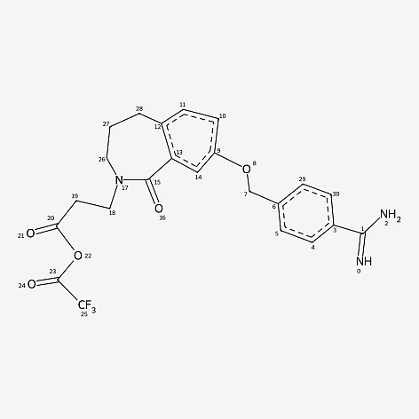 N=C(N)c1ccc(COc2ccc3c(c2)C(=O)N(CCC(=O)OC(=O)C(F)(F)F)CCC3)cc1